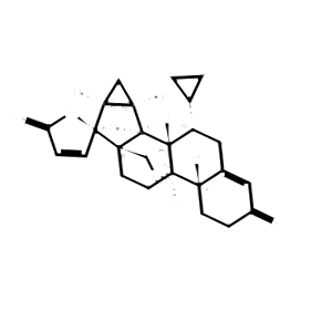 CC[C@]12CC[C@H]3[C@H]([C@@H]1[C@@H]1C[C@@H]1[C@@]21C=CC(=O)O1)[C@H](C1CC1)CC1=CC(=O)CC[C@@H]13